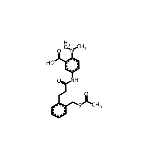 CC(=O)SCc1ccccc1CCC(=O)Nc1ccc(N(C)C)c(C(=O)O)c1